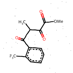 COC(=O)C(=O)C(C)C(=O)c1ccccc1C(F)(F)F